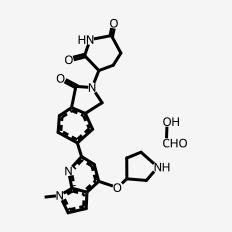 Cn1ccc2c(OC3CCNC3)cc(-c3ccc4c(c3)CN(C3CCC(=O)NC3=O)C4=O)nc21.O=CO